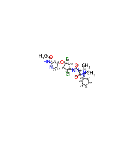 CC(=O)Nc1cc(Oc2cc(Cl)c(NC(=O)c3c(C)n(C)n(-c4ccccc4)c3=O)cc2F)ccn1